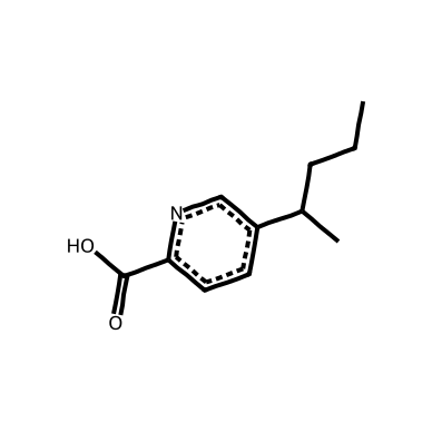 CCCC(C)c1ccc(C(=O)O)nc1